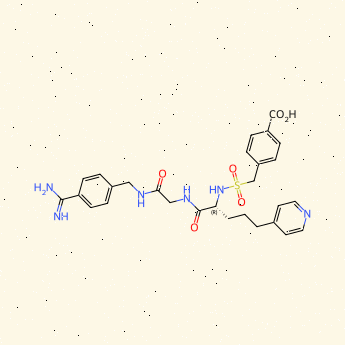 N=C(N)c1ccc(CNC(=O)CNC(=O)[C@@H](CCCc2ccncc2)NS(=O)(=O)Cc2ccc(C(=O)O)cc2)cc1